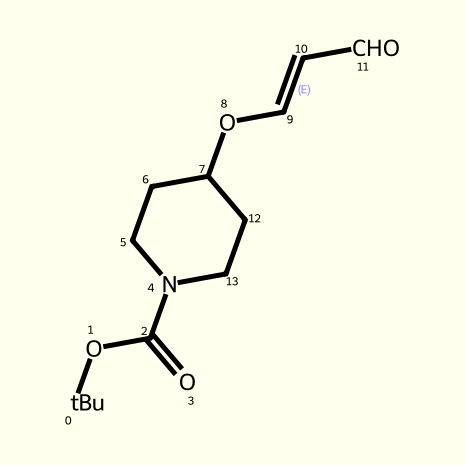 CC(C)(C)OC(=O)N1CCC(O/C=C/C=O)CC1